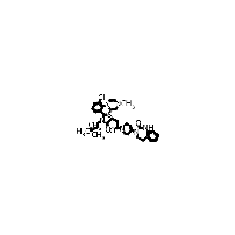 CN1CCN(c2c(Cl)cccc2C2SC(CC(=O)N3CCC(N4CCc5ccccc5NC4=O)CC3)C(=O)N2CCC(C)(C)C)CC1